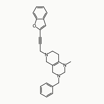 CN1CN(Cc2ccccc2)CC2=C1CCN(CC#Cc1cc3ccccc3o1)C2